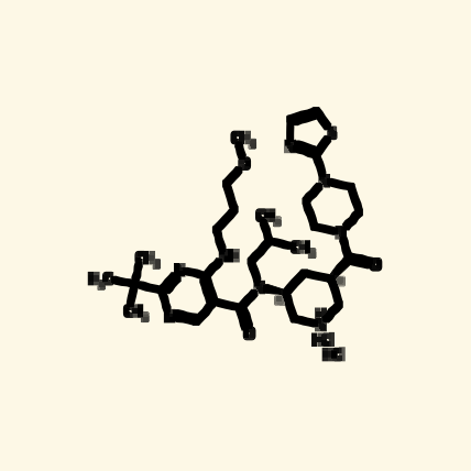 COCCCNc1nc(C(C)(C)C)ncc1C(=O)N(CC(C)C)[C@@H]1CNC[C@H](C(=O)N2CCN(c3nccs3)CC2)C1.Cl.Cl